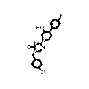 O=c1nc(N2CCC(c3ccc(F)cc3)C(O)C2)ncn1Cc1ccc(Cl)cc1